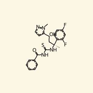 Cn1nccc1[C@H](O)C[C@](C)(NC(=S)NC(=O)c1ccccc1)c1ccc(F)cc1F